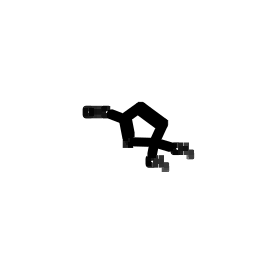 CC1(C)C=CC(C=O)=N1